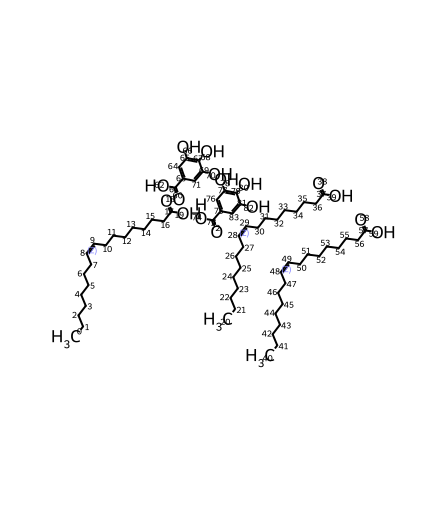 CCCCCCCC/C=C\CCCCCCCC(=O)O.CCCCCCCC/C=C\CCCCCCCC(=O)O.CCCCCCCC/C=C\CCCCCCCC(=O)O.O=C(O)c1cc(O)c(O)c(O)c1.O=C(O)c1cc(O)c(O)c(O)c1